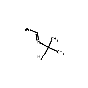 CCCC=NC(C)(C)C